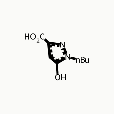 CCCCn1nc(C(=O)O)cc1O